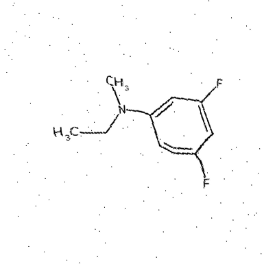 CCN(C)c1cc(F)cc(F)c1